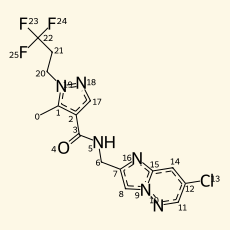 Cc1c(C(=O)NCc2cn3ncc(Cl)cc3n2)cnn1CCC(F)(F)F